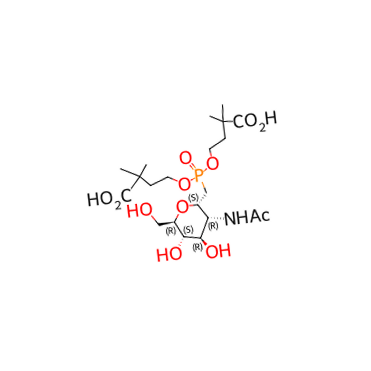 CC(=O)N[C@@H]1[C@@H](O)[C@H](O)[C@@H](CO)O[C@@H]1CP(=O)(OCCC(C)(C)C(=O)O)OCCC(C)(C)C(=O)O